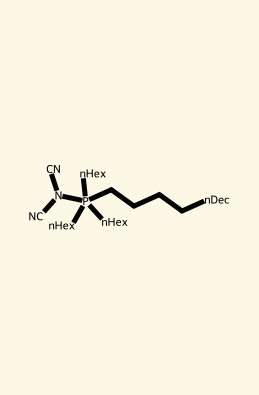 CCCCCCCCCCCCCCP(CCCCCC)(CCCCCC)(CCCCCC)N(C#N)C#N